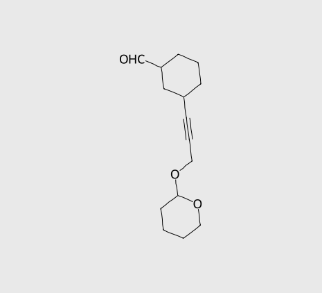 O=CC1CCCC(C#CCOC2CCCCO2)C1